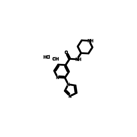 Cl.Cl.O=C(NC1CCNCC1)c1ccnc(-n2ccnc2)c1